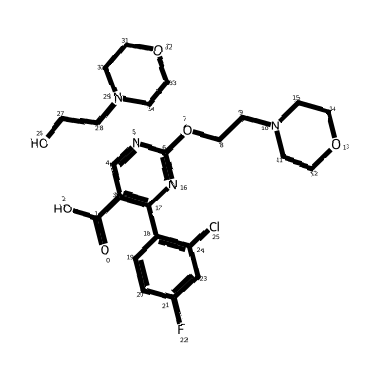 O=C(O)c1cnc(OCCN2CCOCC2)nc1-c1ccc(F)cc1Cl.OCCN1CCOCC1